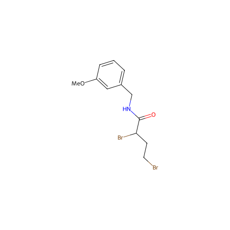 COc1cccc(CNC(=O)C(Br)CCBr)c1